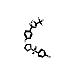 O=S(=O)(c1ccc(Br)cc1)N1CC[C@H](Oc2ccc(-c3noc(C(F)(F)F)n3)cc2)C1